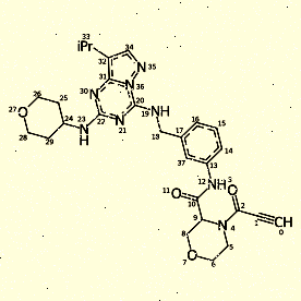 C#CC(=O)N1CCOCC1C(=O)Nc1cccc(CNc2nc(NC3CCOCC3)nc3c(C(C)C)cnn23)c1